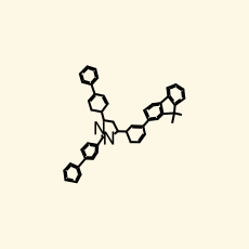 CC1(C)c2ccccc2-c2ccc(C3=CC(C4CC(C5C=CC(c6ccccc6)=CC5)=NC(c5ccc(-c6ccccc6)cc5)=N4)CC=C3)cc21